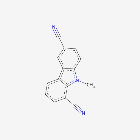 Cn1c2ccc(C#N)cc2c2cccc(C#N)c21